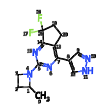 CC1CCN1c1nc(-c2cn[nH]c2)c2c(n1)C(F)(F)CC2